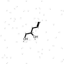 C=CC[C](O)CO